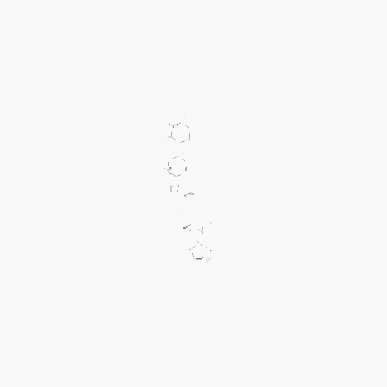 Cc1cc2n(n1)CCCN2C(=O)CCC(=O)Nc1ccc(-c2cccnc2)cn1